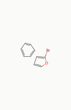 Brc1ccco1.c1ccccc1